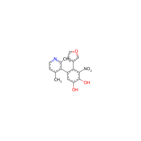 Cc1ccnc(C)c1-c1cc(O)c(O)c([N+](=O)[O-])c1-c1ccoc1